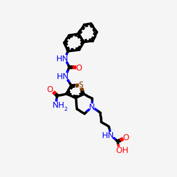 NC(=O)c1c(NC(=O)Nc2ccc3ccccc3c2)sc2c1CCN(CCCNC(=O)O)C2